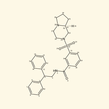 O=C(NCC(c1ccccc1)c1ccccc1)c1cccc(S(=O)(=O)N2CCN3CCC[C@H]3C2)c1